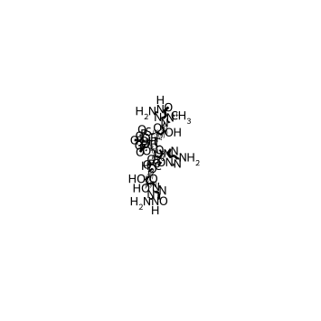 CC[C@H]1[C@@H](O)[C@H](n2c[n+](C)c3c(=O)[nH]c(N)nc32)O[C@@H]1CSP(=O)(O)OP(=O)(O)OP(=O)(O)OC[C@H]1O[C@@H](n2cnc3c(N)ncnc32)[C@H](OC)[C@@H]1OP(=O)([O-])OC[C@H]1O[C@@H](n2cnc3c(=O)[nH]c(N)nc32)[C@H](O)[C@@H]1O